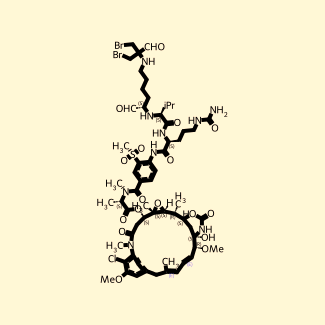 COc1cc2cc(c1Cl)N(C)C(=O)C[C@H](OC(=O)[C@H](C)N(C)C(=O)c1ccc(NC(=O)[C@H](CCCNC(N)=O)NC(=O)[C@@H](N[C@H](C=O)CCCCNC(C=O)(CBr)CBr)C(C)C)c(S(C)(=O)=O)c1)[C@]1(C)O[C@H]1[C@H](C)[C@@H]1C[C@@](O)(NC(=O)O1)[C@H](OC)/C=C/C=C(\C)C2